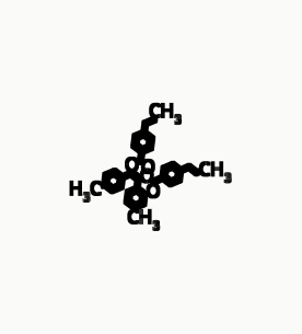 CCCc1ccc(C(=O)OC(=C(OC(=O)c2ccc(CCC)cc2)c2ccc(C)cc2)c2ccc(C)cc2)cc1